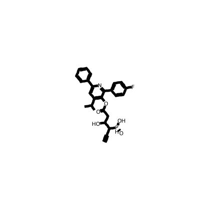 C#CC(C(O)CC(=O)Oc1c(C(C)C)cc(-c2ccccc2)nc1-c1ccc(F)cc1)[PH](=O)O